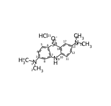 CN(C)c1ccc2c(c1)Nc1ccc(N(C)C)cc1[S+]2[O-].Cl